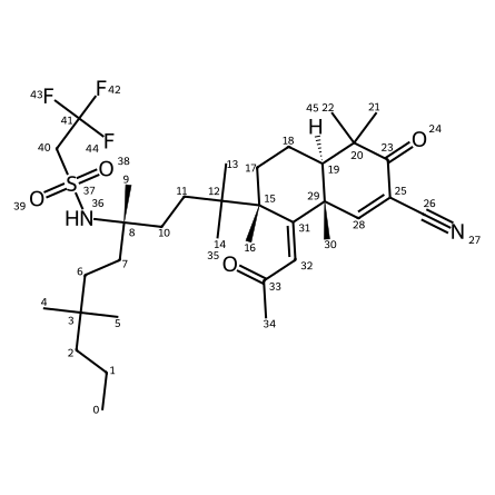 CCCC(C)(C)CC[C@@](C)(CCC(C)(C)[C@]1(C)CC[C@H]2C(C)(C)C(=O)C(C#N)=C[C@]2(C)/C1=C/C(C)=O)NS(=O)(=O)CC(F)(F)F